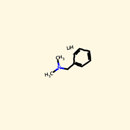 CN(C)Cc1[c]cccc1.[LiH]